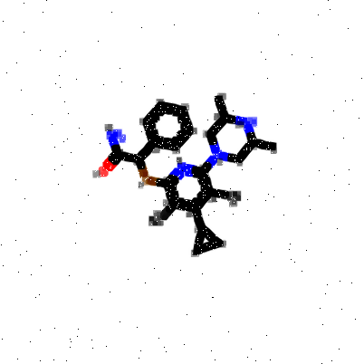 CC1CN(c2nc(SC(C(N)=O)c3ccccc3)c(C#N)c(C3CC3)c2C#N)CC(C)N1